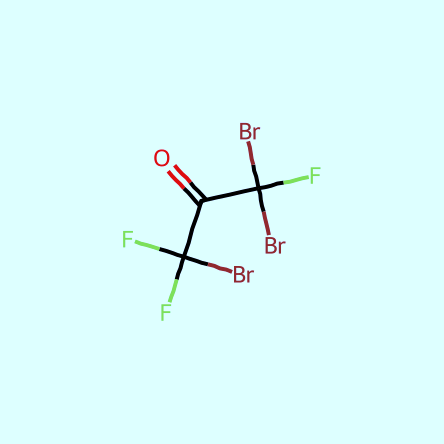 O=C(C(F)(F)Br)C(F)(Br)Br